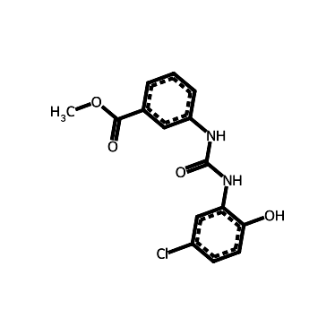 COC(=O)c1cccc(NC(=O)Nc2cc(Cl)ccc2O)c1